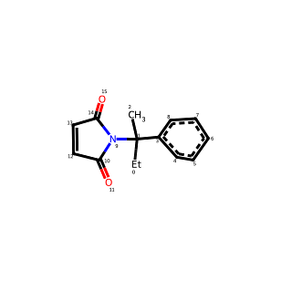 CCC(C)(c1ccccc1)N1C(=O)C=CC1=O